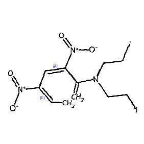 C=C(/C(=C\C(=C/C)[N+](=O)[O-])[N+](=O)[O-])N(CCI)CCI